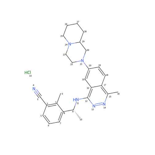 Cc1c(C#N)cccc1[C@@H](C)Nc1nnc(C)c2ccc(N3CCN4CCCCC4C3)cc12.Cl